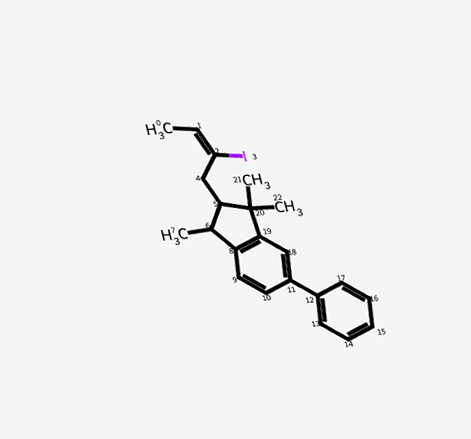 C/C=C(/I)CC1C(C)c2ccc(-c3ccccc3)cc2C1(C)C